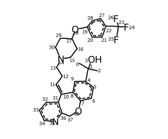 CC(C)(O)c1ccc2c(c1)C(=CCCN1CCC(Oc3ccc(C(F)(F)F)cc3)CC1)c1cccnc1CO2